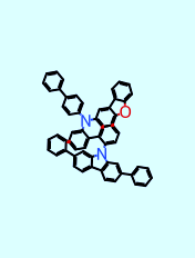 c1ccc(-c2ccc(N(c3ccc4oc5ccccc5c4c3)c3ccccc3-c3ccccc3-n3c4cc(-c5ccccc5)ccc4c4ccc(-c5ccccc5)cc43)cc2)cc1